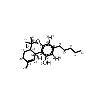 [2H]c1c(O)c2c(c([2H])c1CCCCC)OC(C)(C)[C@@H]1CCC(C)=C[C@@H]21